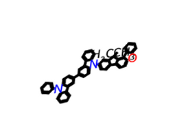 CC1(C)c2cc(-n3c4ccccc4c4cc(-c5ccc6c(c5)c5ccccc5n6-c5ccccc5)ccc43)ccc2-c2ccc3oc4ccccc4c3c21